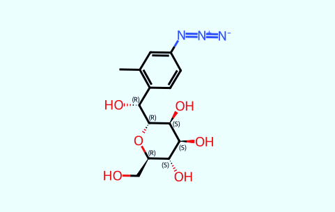 Cc1cc(N=[N+]=[N-])ccc1[C@@H](O)[C@H]1O[C@H](CO)[C@@H](O)[C@H](O)[C@@H]1O